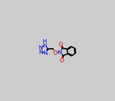 O=C1c2ccccc2C(=O)N1OCc1nnn[nH]1